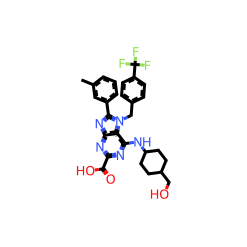 Cc1cccc(-c2nc3nc(C(=O)O)nc(NC4CCC(CO)CC4)c3n2Cc2ccc(C(F)(F)F)cc2)c1